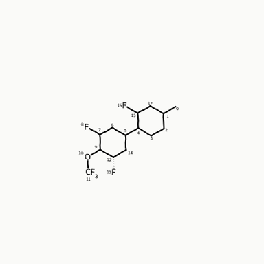 CC1CCC(C2CC(F)C(OC(F)(F)F)[C@@H](F)C2)C(F)C1